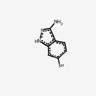 Nc1n[nH]c2cc(S)ccc12